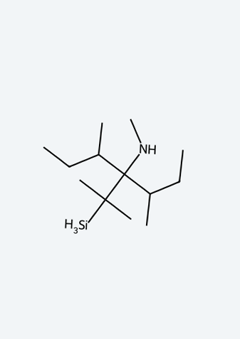 CCC(C)C(NC)(C(C)CC)C(C)(C)[SiH3]